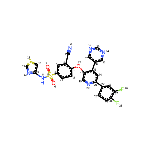 N#Cc1cc(S(=O)(=O)Nc2cscn2)ccc1Oc1cnc(-c2ccc(F)c(F)c2)cc1-c1cncnc1